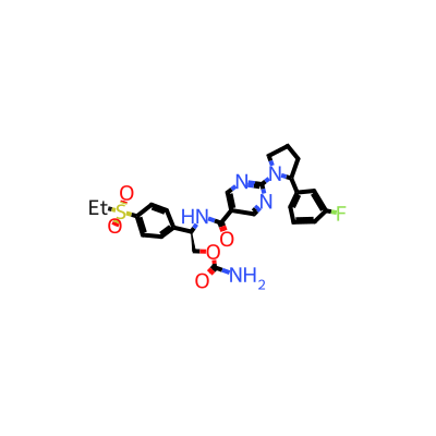 CCS(=O)(=O)c1ccc([C@H](COC(N)=O)NC(=O)c2cnc(N3CCCC3c3cccc(F)c3)nc2)cc1